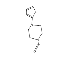 O=[C]N1CCN(c2cccs2)CC1